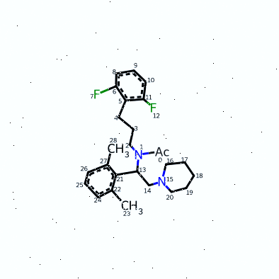 CC(=O)N(CCCc1c(F)cccc1F)C(CN1CCCCC1)c1c(C)cccc1C